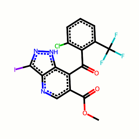 COC(=O)c1cnc2c(I)n[nH]c2c1C(=O)c1c(Cl)cccc1C(F)(F)F